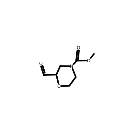 COC(=O)N1CCOC(C=O)C1